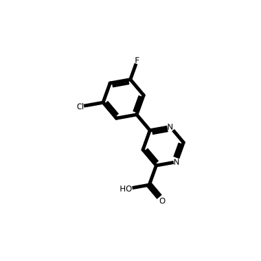 O=C(O)c1cc(-c2cc(F)cc(Cl)c2)ncn1